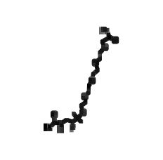 CCC(=O)NCC(F)C(C)(C)OCCOCCOCCOCCOCC(=O)C(C)C